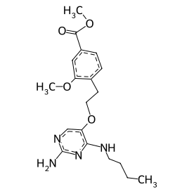 CCCCNc1nc(N)ncc1OCCc1ccc(C(=O)OC)cc1OC